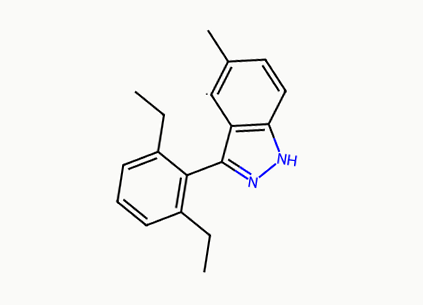 CCc1cccc(CC)c1-c1n[nH]c2ccc(C)[c]c12